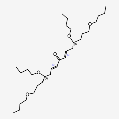 CCCCOCCC[C@H](C/C=C/C(=O)/C=C/C[C@@H](CCCOCCCC)OCCCC)OCCCC